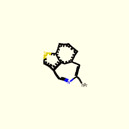 CCCC1=Cc2cccc3scc(c23)C=N1